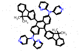 CC1(C)c2ccccc2-c2ccc(-c3c4ccc(N(c5ccncc5)c5ccccn5)cc4c(-c4ccc5c(c4)C(C)(C)c4ccccc4-5)c4ccc(N(c5ccncc5)c5ccccn5)cc34)cc21